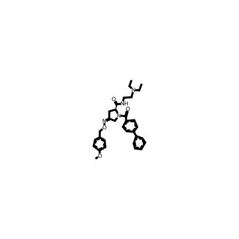 CCN(CC)CCNC(=O)[C@@H]1CC(=NOCc2ccc(OC)cc2)CN1C(=O)c1ccc(-c2ccccc2)cc1